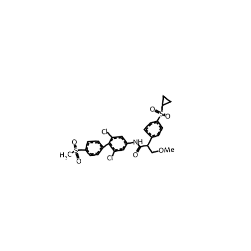 COCC(C(=O)Nc1cc(Cl)c(-c2ccc(S(C)(=O)=O)cc2)c(Cl)c1)c1ccc(S(=O)(=O)C2CC2)cc1